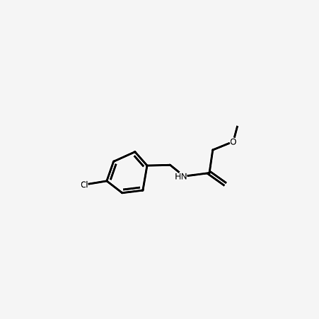 C=C(COC)NCc1ccc(Cl)cc1